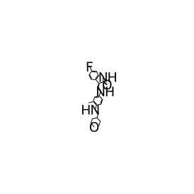 Cc1cc(NC=C2C(=O)Nc3cc(F)ccc32)ccc1NCC1CCOCC1